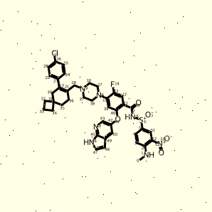 CNc1ccc([S+]([O-])NC(=O)c2cc(F)c(N3CCN(CC4=C(c5ccc(Cl)cc5)CC5(CCC5)CC4)CC3)cc2Oc2cnc3[nH]ccc3c2)cc1[N+](=O)[O-]